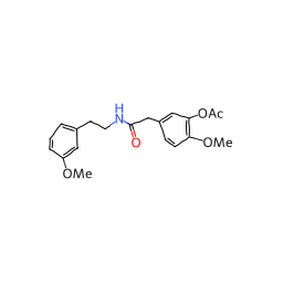 COc1cccc(CCNC(=O)Cc2ccc(OC)c(OC(C)=O)c2)c1